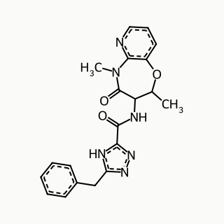 CC1Oc2cccnc2N(C)C(=O)C1NC(=O)c1nnc(Cc2ccccc2)[nH]1